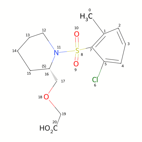 Cc1cccc(Cl)c1S(=O)(=O)N1CCCC[C@H]1COCC(=O)O